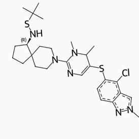 CC1C(Sc2ccc3nn(C)cc3c2Cl)=CN=C(N2CCC3(CCC[C@H]3NSC(C)(C)C)CC2)N1C